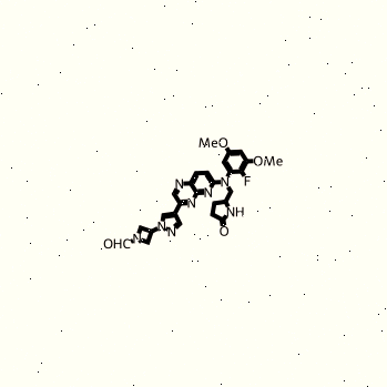 COc1cc(OC)c(F)c(N(CC2CCC(=O)N2)c2ccc3ncc(-c4cnn(C5CN(C=O)C5)c4)nc3n2)c1